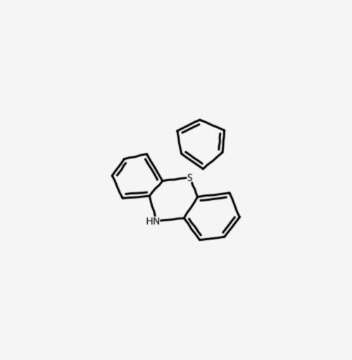 c1ccc2c(c1)Nc1ccccc1S2.c1ccccc1